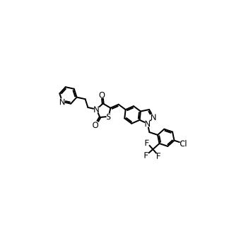 O=C1S/C(=C\c2ccc3c(cnn3Cc3ccc(Cl)cc3C(F)(F)F)c2)C(=O)N1CCc1cccnc1